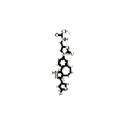 CC(=O)NCC1CN(c2ccc3c(c2)CCCc2c(-c4coc(F)c4)n[nH]c2-3)C(=O)O1